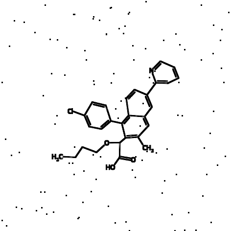 CCCCOC(C(=O)O)c1c(C)cc2cc(-c3ccccn3)ccc2c1-c1ccc(Cl)cc1